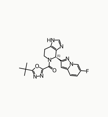 CC(C)(C)c1nnc(C(=O)N2CCc3[nH]cnc3[C@H]2c2cc3ccc(F)cn3n2)o1